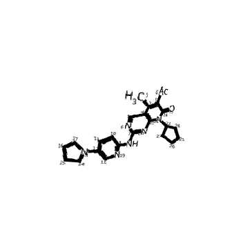 CC(=O)c1c(C)c2cnc(Nc3ccc(N4CCCC4)cn3)nc2n(C2CCCC2)c1=O